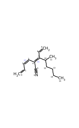 C=C/C=C\C(C#N)=C(/C=C)C(C)CCCC